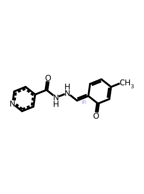 CC1=CC(=O)/C(=C/NNC(=O)c2ccncc2)C=C1